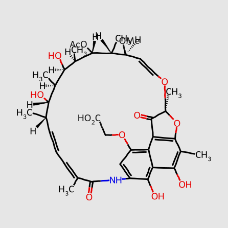 CO[C@H]1/C=C/O[C@@]2(C)Oc3c(C)c(O)c4c(O)c(cc(OCC(=O)O)c4c3C2=O)NC(=O)/C(C)=C\C=C\[C@H](C)[C@H](O)[C@@H](C)[C@@H](O)[C@@H](C)[C@H](OC(C)=O)[C@@H]1C